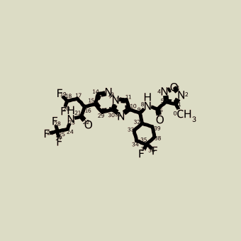 Cc1nonc1C(=O)NC(c1cn2ncc(C(CC(F)F)C(=O)NCC(F)(F)F)cc2n1)C1CCC(F)(F)CC1